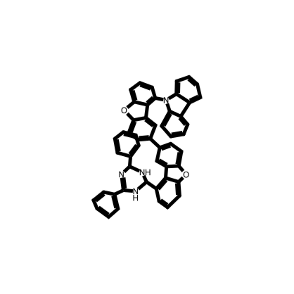 c1ccc(C2=NC(c3ccccc3)NC(c3cccc4oc5ccc(-c6ccc7oc8cccc(-n9c%10ccccc%10c%10ccccc%109)c8c7c6)cc5c34)N2)cc1